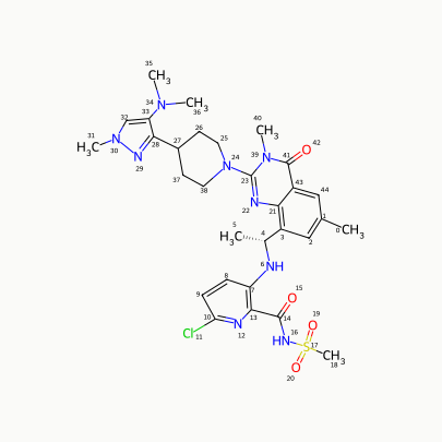 Cc1cc([C@@H](C)Nc2ccc(Cl)nc2C(=O)NS(C)(=O)=O)c2nc(N3CCC(c4nn(C)cc4N(C)C)CC3)n(C)c(=O)c2c1